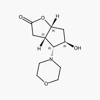 O=C1C[C@H]2[C@@H](N3CCOCC3)[C@H](O)C[C@H]2O1